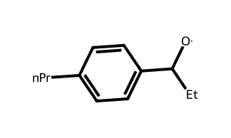 CCCc1ccc(C([O])CC)cc1